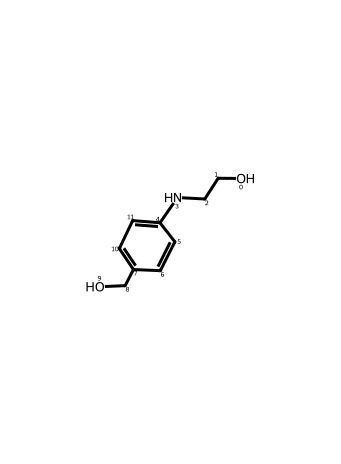 OCCNc1ccc(CO)cc1